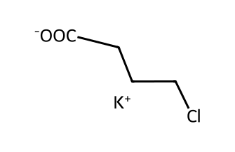 O=C([O-])CCCCl.[K+]